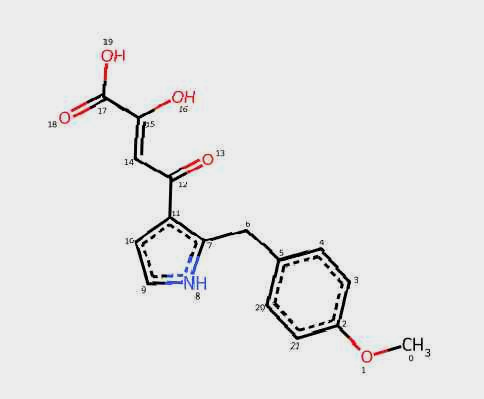 COc1ccc(Cc2[nH]ccc2C(=O)C=C(O)C(=O)O)cc1